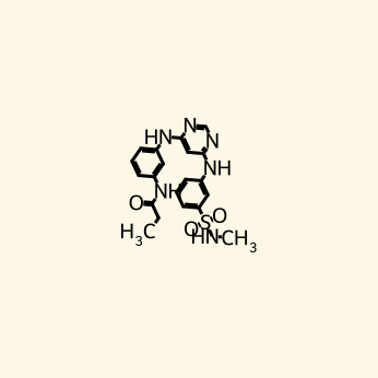 CCC(=O)Nc1cccc(Nc2cc(Nc3cccc(S(=O)(=O)NC)c3)ncn2)c1